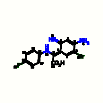 N=C1C=C(N)C(Br)=C/C1=C(/Nc1ccc(F)cc1)C(=O)O